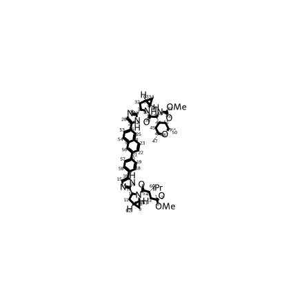 COC(=O)C[C@H](C(=O)N1[C@@H]2C[C@@H]2C[C@H]1c1ncc(-c2ccc(-c3ccc4cc(-c5cnc([C@@H]6C[C@H]7C[C@H]7N6C(=O)C(NC(=O)OC)[C@H]6C[C@@H](C)O[C@@H](C)C6)[nH]5)ccc4c3)cc2)[nH]1)C(C)C